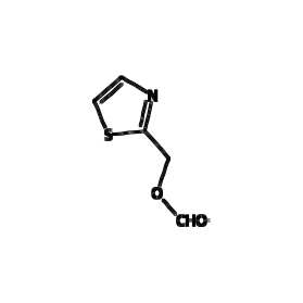 O=[C]OCc1nccs1